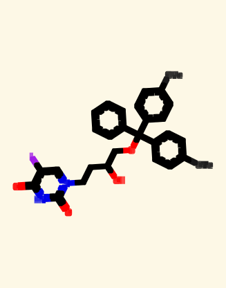 COc1ccc(C(OCC(O)CCn2cc(I)c(=O)[nH]c2=O)(c2ccccc2)c2ccc(OC)cc2)cc1